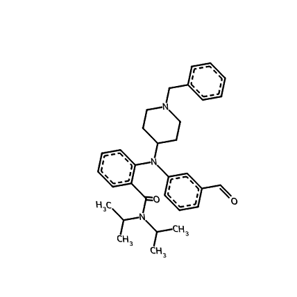 CC(C)N(C(=O)c1ccccc1N(c1cccc(C=O)c1)C1CCN(Cc2ccccc2)CC1)C(C)C